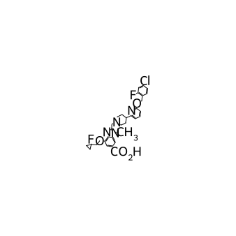 Cn1c(CN2CCC(c3cccc(OCc4ccc(Cl)cc4F)n3)CC2)nc2c(OCC3(F)CC3)cc(C(=O)O)cc21